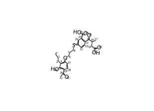 CCCc1c(OCCCSc2ccc(C(=O)C(C)CC(=O)O)c(C(=O)O)c2)ccc(C(C)=O)c1O